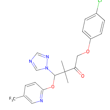 CC(C)(C(=O)COc1ccc(Cl)cc1)C(Oc1ccc(C(F)(F)F)cn1)n1cncn1